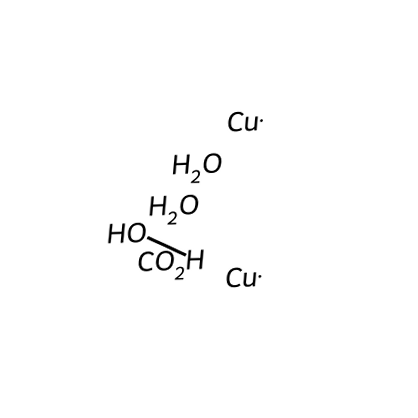 O.O.O=C(O)O.[Cu].[Cu]